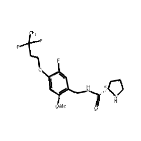 COc1cc(OCCC(F)(F)C(F)(F)F)c(F)cc1CNC(=O)[C@@H]1CCCN1